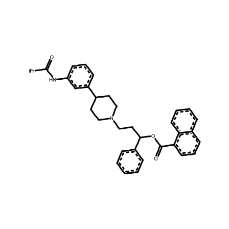 CC(C)C(=O)Nc1cccc(C2CCN(CCC(OC(=O)c3cccc4ccccc34)c3ccccc3)CC2)c1